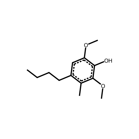 CCCCc1cc(OC)c(O)c(OC)c1C